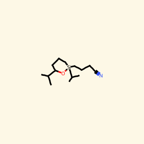 CC(C)C1CCC[Si](CCCC#N)(C(C)C)O1